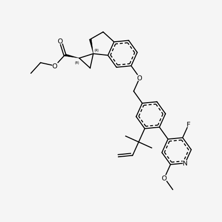 C=CC(C)(C)c1cc(COc2ccc3c(c2)[C@]2(CC3)C[C@H]2C(=O)OCC)ccc1-c1cc(OC)ncc1F